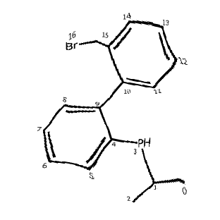 CC(C)Pc1ccccc1-c1ccccc1Br